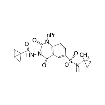 CCCn1c(=O)n(NC(=O)C23CC2C3)c(=O)c2cc(S(=O)(=O)NC3(C)CC3)ccc21